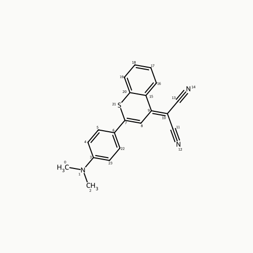 CN(C)c1ccc(C2=CC(=C(C#N)C#N)c3ccccc3S2)cc1